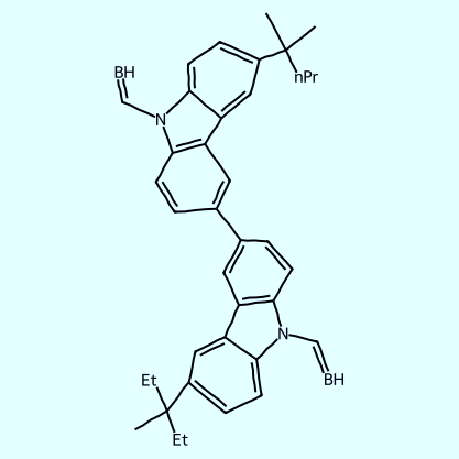 B=Cn1c2ccc(-c3ccc4c(c3)c3cc(C(C)(CC)CC)ccc3n4C=B)cc2c2cc(C(C)(C)CCC)ccc21